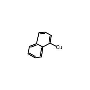 [Cu][c]1cccc2ccccc12